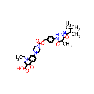 CCn1cc(C(=O)O)c(=O)c2ccc(N3CCN(C(=O)OCc4ccc(NC(=O)C(C)c5nnc([C@@H](C)C(C)C)o5)cc4)CC3)cc21